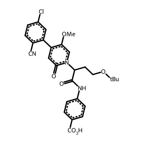 COc1cn(C(CCOC(C)(C)C)C(=O)Nc2ccc(C(=O)O)cc2)c(=O)cc1-c1cc(Cl)ccc1C#N